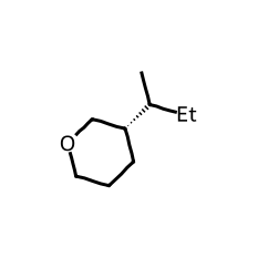 CCC(C)[C@@H]1CCCOC1